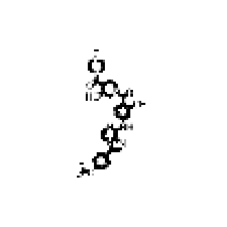 Cc1cc(Nc2nccn3c(-c4ccc(OC(F)F)cc4)cnc23)ccc1C(=O)N1CCC(C(=O)N2CCNCC2)C(O)C1